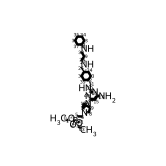 CCOP(=O)(CCN1CC2CC1CN2c1cc(N)nc(NC[C@H]2CC[C@H](CNCCCNC3CCCCC3)CC2)n1)OCC